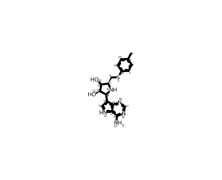 Cc1ccc(SC[C@H]2NC(c3c[nH]c4c(N)ncnc34)[C@@H](O)C2O)cc1